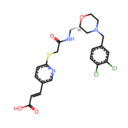 O=C(O)C=Cc1ccc(SCC(=O)NC[C@H]2CN(Cc3ccc(Cl)c(Cl)c3)CCO2)nc1